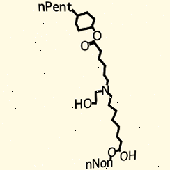 CCCCCCCCCOC(O)CCCCCCCN(CCO)CCCCCC(=O)OC1CCC(CCCCC)CC1